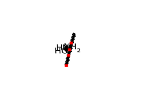 CCCCCCCCCCCCCCCCCCCCCCC.NNC(=O)O